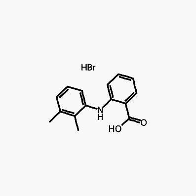 Br.Cc1cccc(Nc2ccccc2C(=O)O)c1C